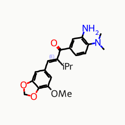 COc1cc(/C=C(/C(=O)c2ccc(N(C)C)c(N)c2)C(C)C)cc2c1OCO2